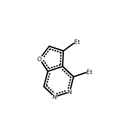 CCc1coc2cnnc(CC)c12